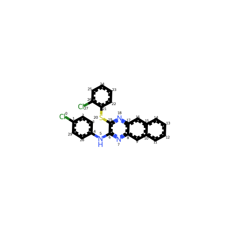 Clc1ccc(Nc2nc3cc4ccccc4cc3nc2Sc2ccccc2Cl)cc1